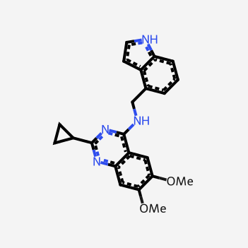 COc1cc2nc(C3CC3)nc(NCc3cccc4[nH]ccc34)c2cc1OC